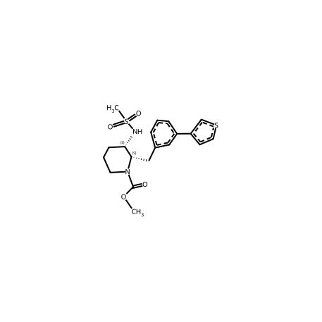 COC(=O)N1CCC[C@H](NS(C)(=O)=O)[C@@H]1Cc1cccc(-c2ccsc2)c1